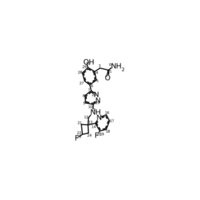 NC(=O)Cc1cc(-c2ccc(NCC3(c4ncccc4F)CC(F)C3)nn2)ccc1O